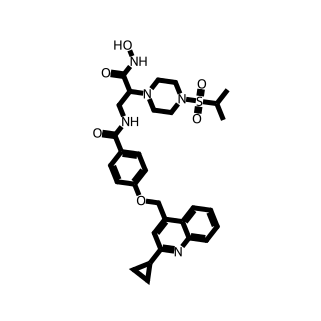 CC(C)S(=O)(=O)N1CCN(C(CNC(=O)c2ccc(OCc3cc(C4CC4)nc4ccccc34)cc2)C(=O)NO)CC1